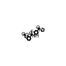 O=C1Cc2cccc(C(=O)Nc3ccc(C(=O)N4CCCC4)cc3F)c2O1